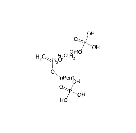 C=COCCCCC.O.O.O.O=P(O)(O)O.O=P(O)(O)O